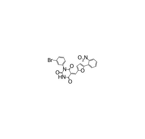 O=C1NC(=O)N(c2cccc(Br)c2)C(=O)/C1=C\c1ccc(-c2ccccc2[N+](=O)[O-])o1